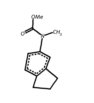 COC(=O)N(C)c1ccc2c(c1)CCC2